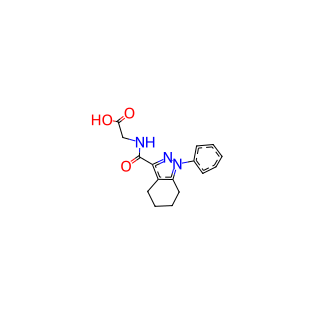 O=C(O)CNC(=O)c1nn(-c2ccccc2)c2c1CCCC2